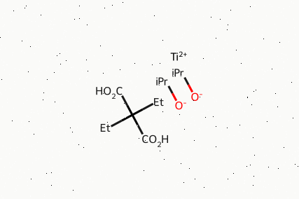 CC(C)[O-].CC(C)[O-].CCC(CC)(C(=O)O)C(=O)O.[Ti+2]